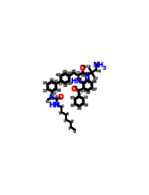 CCCCCCCNC(=O)N(C)c1cccc(-c2ccc(CC(Nc3ccccc3C(=O)c3ccccc3)C(=O)NC(C)(C)CN)cc2)c1